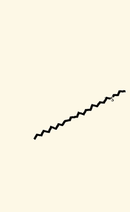 CCCCCCCCCCCCCCCCCCCCC[CH]SCCCC